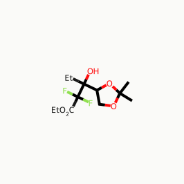 CCOC(=O)C(F)(F)C(O)(CC)C1COC(C)(C)O1